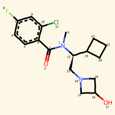 CN(C(=O)c1ccc(F)cc1Cl)[C@H](CN1CC(O)C1)C1CCC1